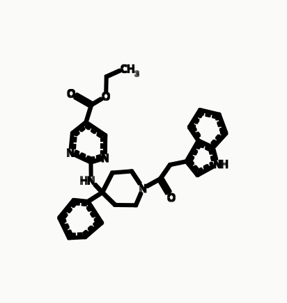 CCOC(=O)c1cnc(NC2(c3ccccc3)CCN(C(=O)Cc3c[nH]c4ccccc34)CC2)nc1